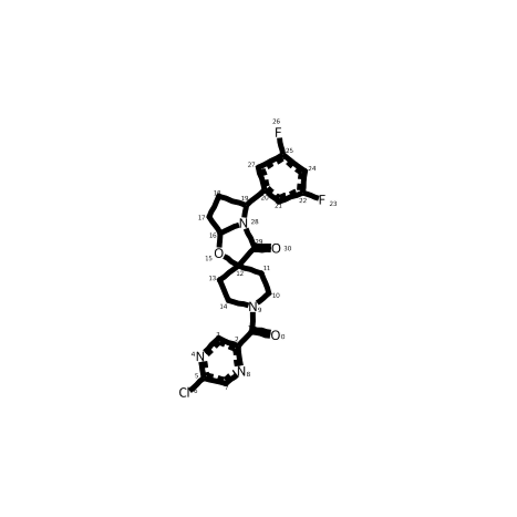 O=C(c1cnc(Cl)cn1)N1CCC2(CC1)OC1CCC(c3cc(F)cc(F)c3)N1C2=O